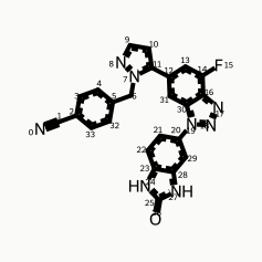 N#Cc1ccc(Cn2nccc2-c2cc(F)c3nnn(-c4ccc5[nH]c(=O)[nH]c5c4)c3c2)cc1